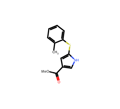 COC(=O)c1c[nH]c(Sc2ccccc2C)c1